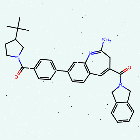 CC(C)(C)C1CCN(C(=O)c2ccc(-c3ccc4c(c3)N=C(N)CC(C(=O)N3Cc5ccccc5C3)=C4)cc2)C1